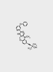 CN1C(=O)[C@H](NC(=O)c2cc(Oc3ccccc3)ccn2)COc2ccc(C#CC(C)(C)O)cc21